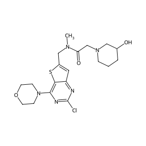 CN(Cc1cc2nc(Cl)nc(N3CCOCC3)c2s1)C(=O)CN1CCCC(O)C1